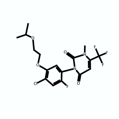 CC(C)OCCOc1cc(-n2c(=O)cc(C(F)(F)F)n(C)c2=O)c(F)cc1Cl